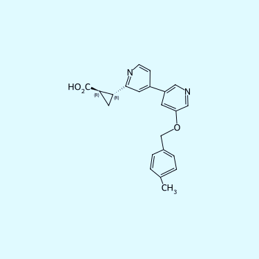 Cc1ccc(COc2cncc(-c3ccnc([C@@H]4C[C@H]4C(=O)O)c3)c2)cc1